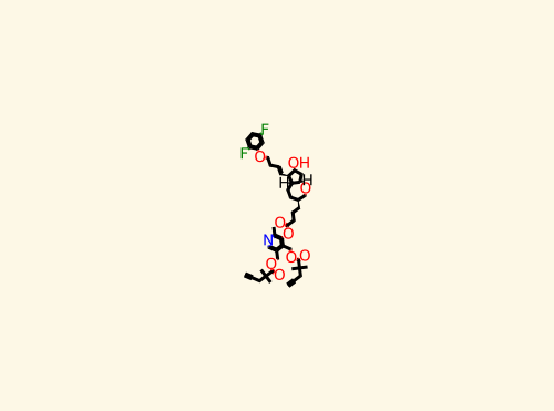 C#CCC(C)(C)C(=O)OCc1cnc(C)c(OC(=O)CCC[C@H]2CC[C@@H]3[C@@H](/C=C/CCOc4cc(F)ccc4F)[C@H](O)C[C@@H]3OC2)c1COC(=O)C(C)(C)CC#C